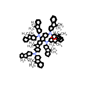 CC1(C)c2ccccc2-c2ccc(N(c3ccc4c(c3)C(C)(C)c3ccccc3-4)c3ccc4c(c3)C(C)(C)c3cc5c(N(c6ccc7c(c6)C(C)(C)c6ccccc6-7)c6ccc7c(c6)C(C)(C)c6ccccc6-7)c6ccc(N(c7ccc8c(c7)C(C)(C)c7ccccc7-8)c7ccc8c(c7)C(C)(C)c7ccccc7-8)cc6c(N(c6ccc7c(c6)C(C)(C)c6ccccc6-7)c6ccc7c(c6)C(C)(C)c6ccccc6-7)c5cc3-4)cc21